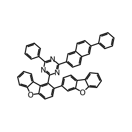 c1ccc(-c2ccc3cc(-c4nc(-c5ccccc5)nc(-c5c(-c6ccc7c(c6)oc6ccccc67)ccc6oc7ccccc7c56)n4)ccc3c2)cc1